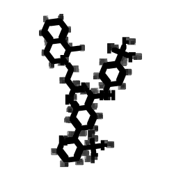 CC1c2ccccc2CCN1CCc1nc(Nc2ccc(C(F)(F)F)cc2)c2ccc(-c3ncccc3C(F)(F)F)cc2n1